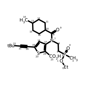 CCOP(C)(=O)CCN(C(=O)C1CCC(C)CC1)c1cc(C#CC(C)(C)C)sc1C(=O)O